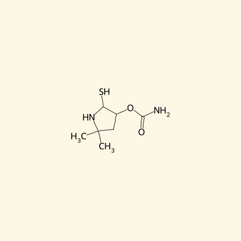 CC1(C)CC(OC(N)=O)C(S)N1